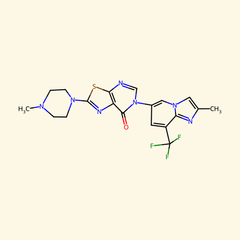 Cc1cn2cc(-n3cnc4sc(N5CCN(C)CC5)nc4c3=O)cc(C(F)(F)F)c2n1